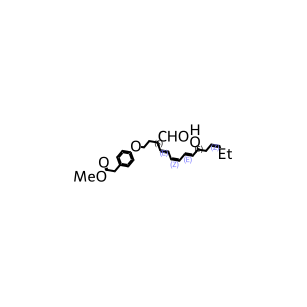 CC/C=C\C[C@H](O)/C=C/C=C\C=C\[C@@H](C=O)CCOc1ccc(CC(=O)OC)cc1